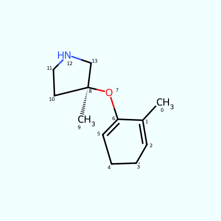 CC1=C[CH]CC=C1O[C@@]1(C)CCNC1